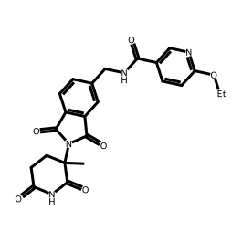 CCOc1ccc(C(=O)NCc2ccc3c(c2)C(=O)N(C2(C)CCC(=O)NC2=O)C3=O)cn1